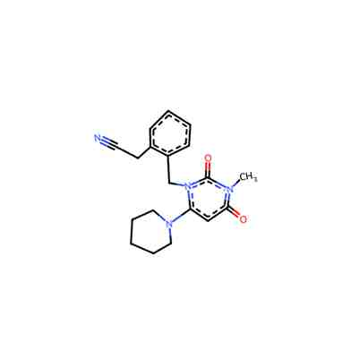 Cn1c(=O)cc(N2CCCCC2)n(Cc2ccccc2CC#N)c1=O